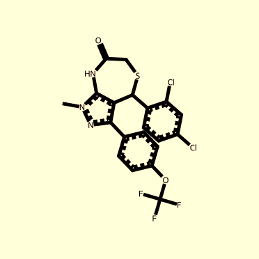 Cn1nc(-c2ccc(OC(F)(F)F)cc2)c2c1NC(=O)CSC2c1ccc(Cl)cc1Cl